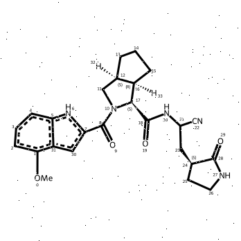 COc1cccc2[nH]c(C(=O)N3C[C@H]4CCC[C@H]4[C@H]3C(=O)NC(C#N)C[C@@H]3CCNC3=O)cc12